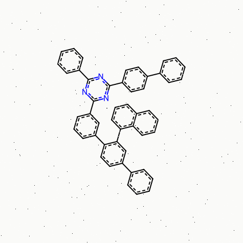 c1ccc(-c2ccc(-c3nc(-c4ccccc4)nc(-c4cccc(-c5ccc(-c6ccccc6)cc5-c5cccc6ccccc56)c4)n3)cc2)cc1